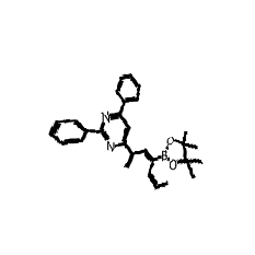 C=C(/C=C(\C=C/C)B1OC(C)(C)C(C)(C)O1)c1cc(-c2ccccc2)nc(-c2ccccc2)n1